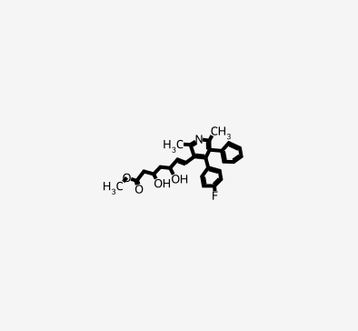 COC(=O)CC(O)CC(O)C=Cc1c(C)nc(C)c(-c2ccccc2)c1-c1ccc(F)cc1